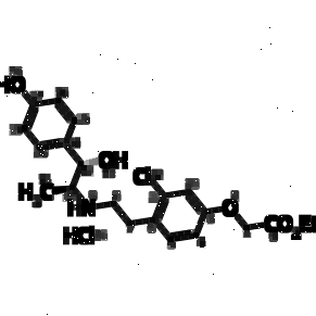 CCOC(=O)COc1ccc(CCN[C@@H](C)[C@@H](O)c2ccc(O)cc2)c(Cl)c1.Cl